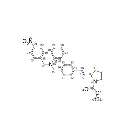 CC(C)(C)OC(=O)N1CCCC1/C=C/c1ccc(CN(Cc2ccc([N+](=O)[O-])cc2)c2ccccc2)cc1